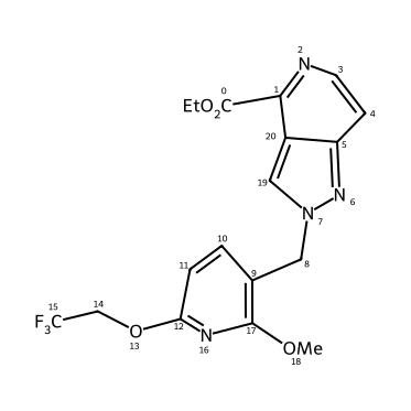 CCOC(=O)c1nccc2nn(Cc3ccc(OCC(F)(F)F)nc3OC)cc12